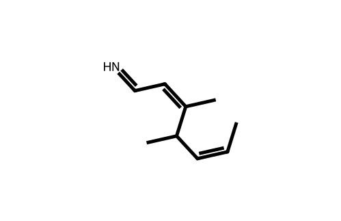 C/C=C\C(C)/C(C)=C\C=N